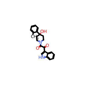 Cc1ccccc1C1(O)CCN(C(=O)C(=O)c2c[nH]c3ccccc23)CC1